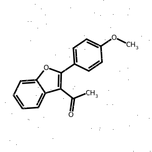 COc1ccc(-c2oc3ccccc3c2C(C)=O)cc1